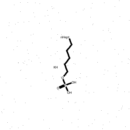 CCCCCCCCCCCCOP(=O)(O)O.[KH]